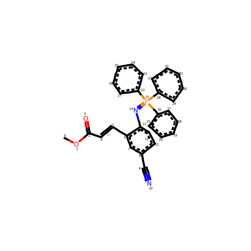 COC(=O)/C=C/c1cc(C#N)ccc1N=P(c1ccccc1)(c1ccccc1)c1ccccc1